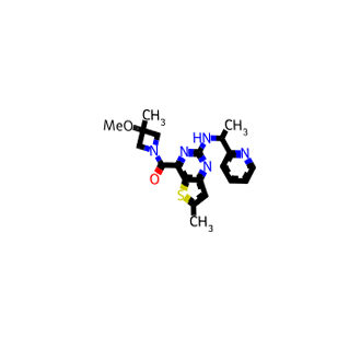 COC1(C)CN(C(=O)c2nc(NC(C)c3ccccn3)nc3cc(C)sc23)C1